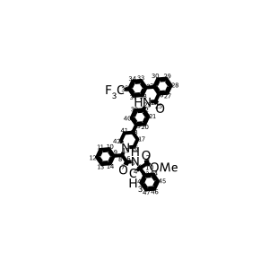 COC(=O)C(C)(NC(=O)C(c1ccccc1)N1CCC(c2ccc(NC(=O)c3ccccc3-c3ccc(C(F)(F)F)cc3)cc2)CC1)c1ccccc1